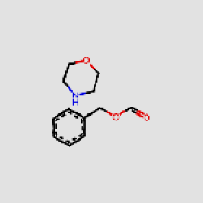 C1COCCN1.O=COCc1ccccc1